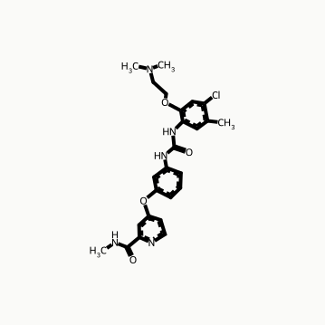 CNC(=O)c1cc(Oc2cccc(NC(=O)Nc3cc(C)c(Cl)cc3OCCN(C)C)c2)ccn1